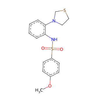 COc1ccc(S(=O)(=O)Nc2ccccc2N2CCSC2)cc1